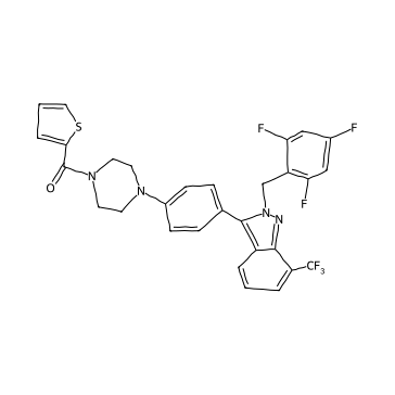 O=C(c1cccs1)N1CCN(c2ccc(-c3c4cccc(C(F)(F)F)c4nn3Cc3c(F)cc(F)cc3F)cc2)CC1